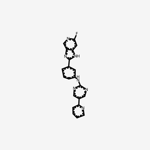 Fc1cc2[nH]c(-c3cccc(Nc4ncc(-c5ccccn5)cn4)c3)nc2cn1